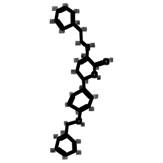 O=C1OC(c2ccc(OCc3ccccc3)cc2)CC=C1SCCc1ccccc1